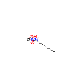 CCCCCCCCCCCCCCCC(=O)Nc1ccccc1O